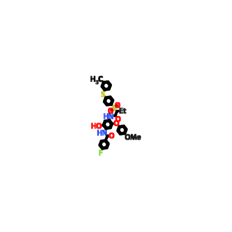 CCC(C(=O)Nc1cc(O)c(NC(=O)c2ccc(F)cc2)cc1Oc1ccc(OC)cc1)S(=O)(=O)c1ccc(Sc2cccc(C)c2)cc1